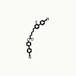 N#Cc1ccc(-c2ccc(OC(=O)CCCCCc3ccc(-c4ccc(C#N)cc4)c(F)c3)cc2)cc1